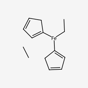 CC.C[CH2][Fe]([C]1=CC=CC1)[C]1=CC=CC1